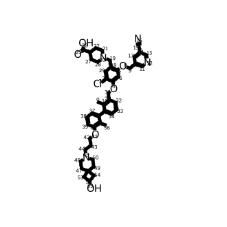 Cc1c(COc2cc(OCc3cncc(C#N)c3)c(CN3CCC(C(=O)O)CC3)cc2Cl)cccc1-c1cccc(OCCCN2CCC3(CC2)CC(O)C3)c1C